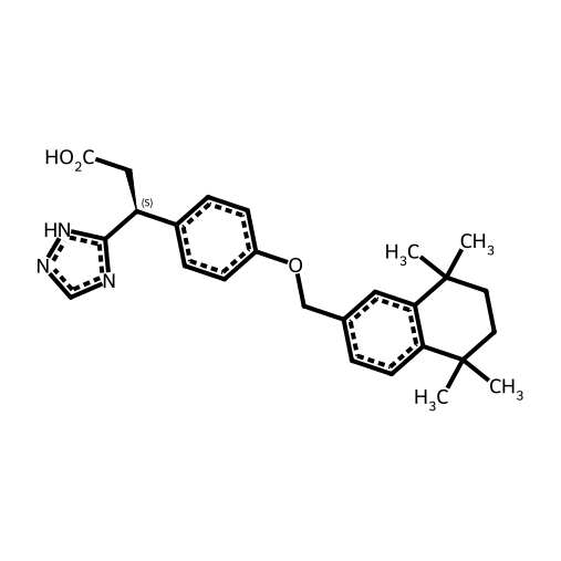 CC1(C)CCC(C)(C)c2cc(COc3ccc([C@H](CC(=O)O)c4ncn[nH]4)cc3)ccc21